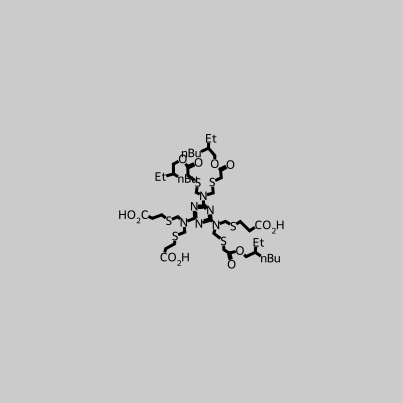 CCCCC(CC)COC(=O)CSCN(CSCCC(=O)O)c1nc(N(CSCCC(=O)O)CSCCC(=O)O)nc(N(CSCC(=O)OCC(CC)CCCC)CSCC(=O)OCC(CC)CCCC)n1